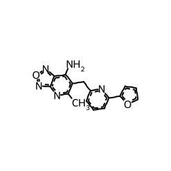 Cc1nc2nonc2c(N)c1Cc1cccc(-c2ccco2)n1